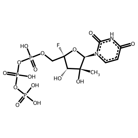 C[C@]1(O)[C@H](n2ccc(=O)[nH]c2=O)O[C@](F)(COP(=O)(O)OP(=O)(O)OP(=O)(O)O)[C@H]1O